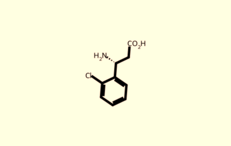 N[C@H](CC(=O)O)c1ccccc1Cl